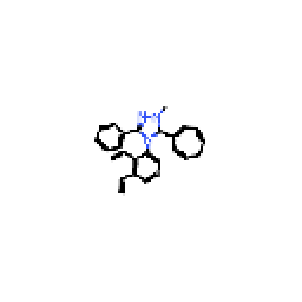 C=Cc1cccc(N2C(c3ccccc3)=NN(C)C2C2=CC=CCC=C2)c1C=C